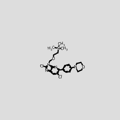 C[Si](C)(C)CCOCn1c(Cl)nc2cc(Cl)c(-c3ccc(N4CCOCC4)cc3)nc21